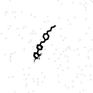 CCCCCC1CCC(CCc2ccc(-c3ccc(F)nc3F)cc2)CC1